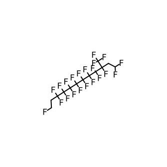 FCCC(F)(F)C(F)(F)C(F)(F)C(F)(F)C(F)(F)C(F)(F)C(F)(F)C(F)(CC(F)F)C(F)(F)F